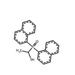 CC(S)P(=O)(c1cccc2ccccc12)c1cccc2ccccc12